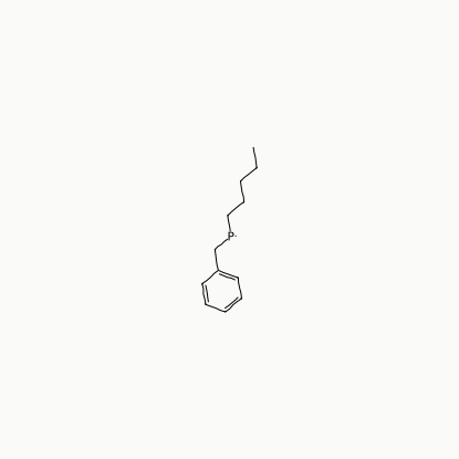 CCCCC[P]Cc1ccccc1